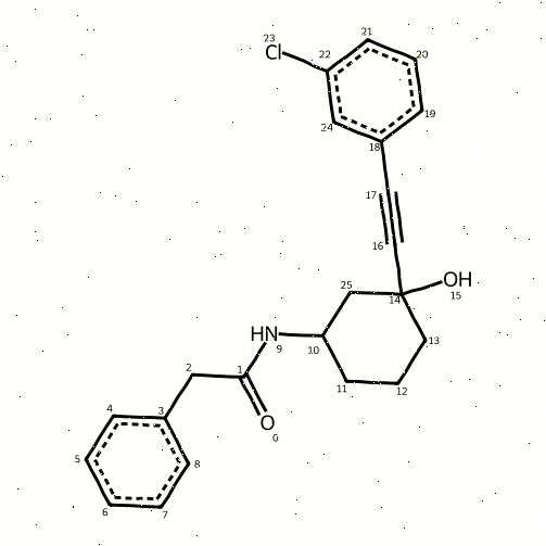 O=C(Cc1ccccc1)NC1CCCC(O)(C#Cc2cccc(Cl)c2)C1